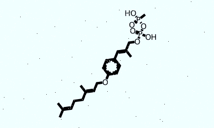 CC(C)=CCC/C(C)=C/COc1ccc(/C=C(\C)COP(=O)(O)OP(C)(=O)O)cc1